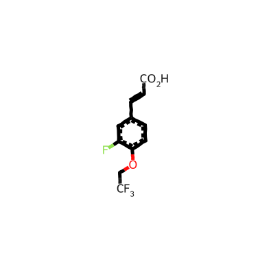 O=C(O)/C=C/c1ccc(OCC(F)(F)F)c(F)c1